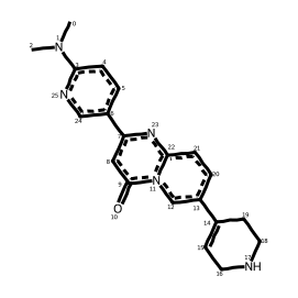 CN(C)c1ccc(-c2cc(=O)n3cc(C4=CCNCC4)ccc3n2)cn1